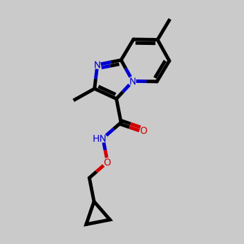 Cc1ccn2c(C(=O)NOCC3CC3)c(C)nc2c1